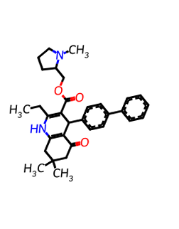 CCC1=C(C(=O)OCC2CCCN2C)C(c2ccc(-c3ccccc3)cc2)C2=C(CC(C)(C)CC2=O)N1